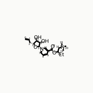 C=CC[C@H]1O[C@@H]([n+]2cccc(C(=O)O[C@H](CC)C[N+](C)(C)C)c2)[C@H](O)[C@@H]1O